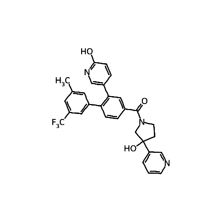 Cc1cc(-c2ccc(C(=O)N3CCC(O)(c4cccnc4)C3)cc2-c2ccc(O)nc2)cc(C(F)(F)F)c1